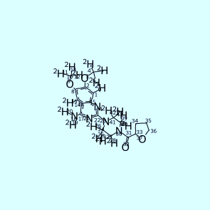 [2H]c1c(OC([2H])([2H])[2H])c(OC([2H])([2H])[2H])c([2H])c2c(N([2H])[2H])nc(N3C([2H])([2H])C([2H])([2H])N(C(=O)C4CCCO4)C([2H])([2H])C3([2H])[2H])nc12